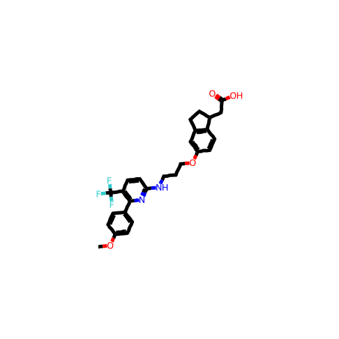 COc1ccc(-c2nc(NCCCOc3ccc4c(c3)CCC4CC(=O)O)ccc2C(F)(F)F)cc1